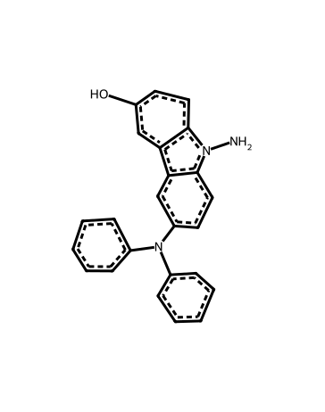 Nn1c2ccc(O)cc2c2cc(N(c3ccccc3)c3ccccc3)ccc21